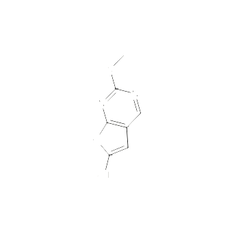 CSc1ncc2cc(S)oc2n1